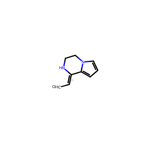 O=C/C=C1\NCCn2cccc21